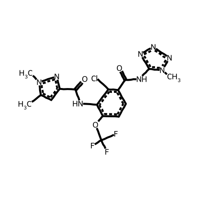 Cc1cc(C(=O)Nc2c(OC(F)(F)F)ccc(C(=O)Nc3nnnn3C)c2Cl)nn1C